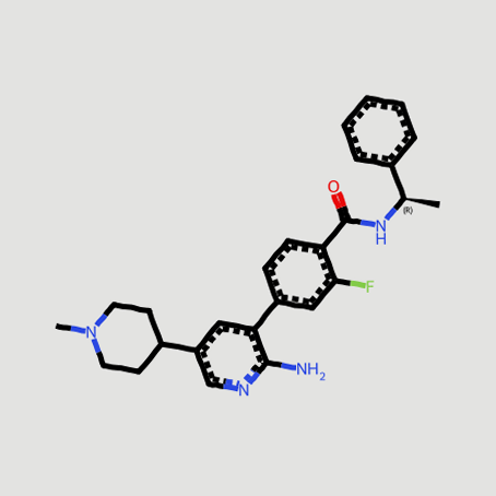 C[C@@H](NC(=O)c1ccc(-c2cc(C3CCN(C)CC3)cnc2N)cc1F)c1ccccc1